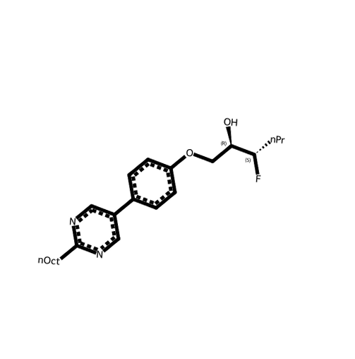 CCCCCCCCc1ncc(-c2ccc(OC[C@@H](O)[C@@H](F)CCC)cc2)cn1